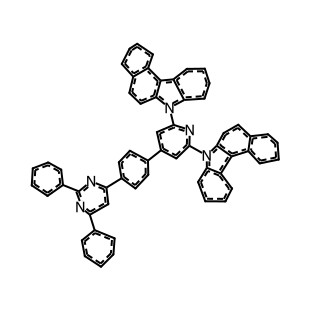 c1ccc(-c2cc(-c3ccc(-c4cc(-n5c6ccccc6c6c7ccccc7ccc65)nc(-n5c6ccccc6c6c7ccccc7ccc65)c4)cc3)nc(-c3ccccc3)n2)cc1